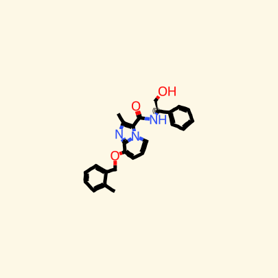 Cc1ccccc1COc1cccn2c(C(=O)N[C@@H](CO)c3ccccc3)c(C)nc12